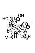 CSCCC(NC(=O)C(CO)NC(=O)C(Cc1ccc(O)cc1)NC(=O)C(N)CO)C(=O)NC(CCC(=O)O)C(=O)NC(Cc1c[nH]cn1)C(=O)NC(Cc1ccccc1)C(=O)O